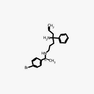 C=CCC(N)(CCCN[C@@H](C)c1ccc(Br)cc1)c1ccccc1